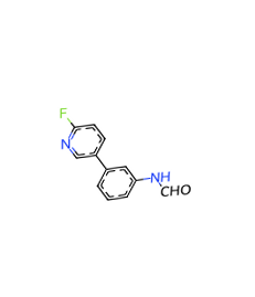 O=CNc1cccc(-c2ccc(F)nc2)c1